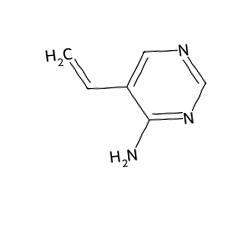 C=Cc1cncnc1N